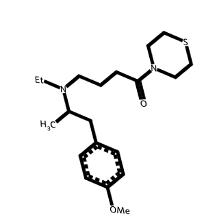 CCN(CCCC(=O)N1CCSCC1)C(C)Cc1ccc(OC)cc1